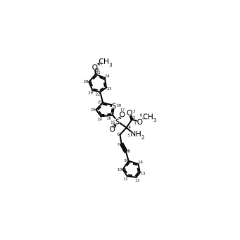 COC(=O)C(N)(CC#Cc1ccccc1)S(=O)(=O)c1ccc(-c2ccc(OC)cc2)s1